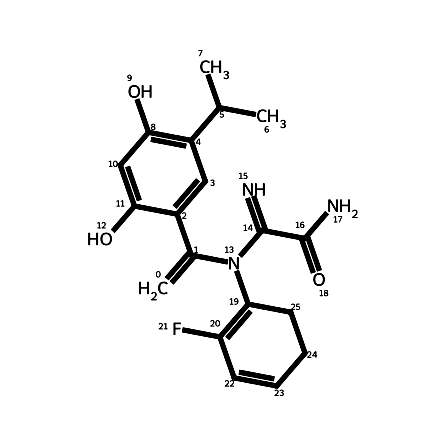 C=C(c1cc(C(C)C)c(O)cc1O)N(C(=N)C(N)=O)C1=C(F)C=CCC1